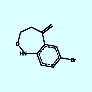 C=C1CCONc2ccc(Br)cc21